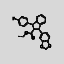 CCOC(=O)C1=C(c2ccc3c(c2)OCO3)c2ccccc2C1c1ccc(F)cc1